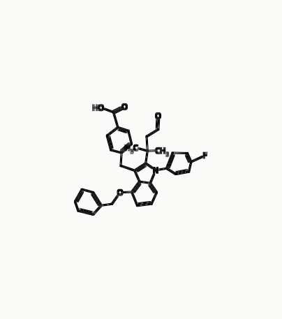 CC(C)(CC=O)c1c(Cc2ccc(C(=O)O)cc2)c2c(OCc3ccccc3)cccc2n1-c1ccc(F)cc1